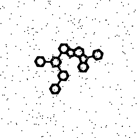 c1ccc(-c2cccc(-c3cc(-c4cccc5c4sc4c5ccc5c4c4ccccc4n5-c4ccccc4)nc(-c4ccccc4)n3)c2)cc1